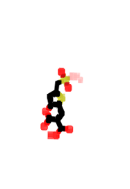 BS(=O)(=O)Cc1cc2oc(=O)c(C(=O)O)cc2s1